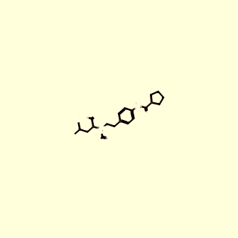 CC(C)CC(C(=O)O)N(CCc1ccc(NC(=O)C2CCCC2)cc1)C(=O)O